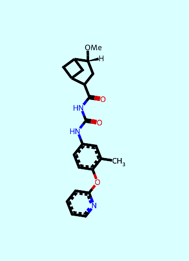 CO[C@@H]1CC(C(=O)NC(=O)Nc2ccc(Oc3ccccn3)c(C)c2)C2CC1C2